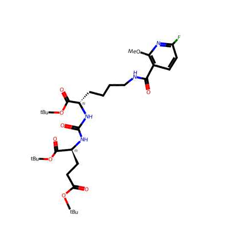 COc1nc(F)ccc1C(=O)NCCCC[C@H](NC(=O)N[C@@H](CCC(=O)OC(C)(C)C)C(=O)OC(C)(C)C)C(=O)OC(C)(C)C